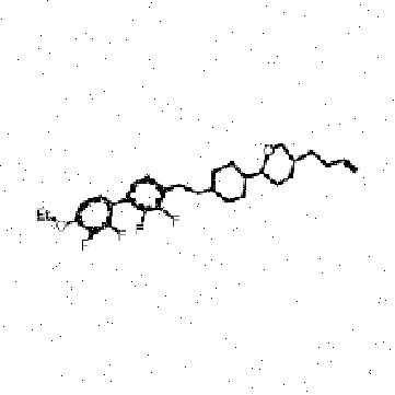 C=CCCC1CCC(C2CCC(CCc3ccc(-c4ccc(OCC)c(F)c4F)c(F)c3F)CC2)OC1